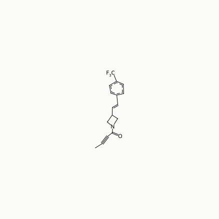 CC#CC(=O)N1CC(/C=C/c2ccc(C(F)(F)F)cc2)C1